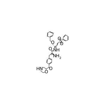 N[C@@H](Cc1ccc(C(=O)C2CNCCO2)cc1)C(=O)N[C@@H](C=CS(=O)(=O)c1ccccc1)COCc1ccccc1